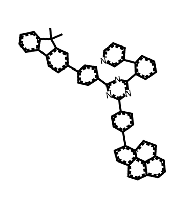 CC1(C)c2ccccc2-c2ccc(-c3ccc(-c4nc(-c5ccc(-c6ccc7ccc8cccc9ccc6c7c89)cc5)nc(-c5ccccc5-c5cccnc5)n4)cc3)cc21